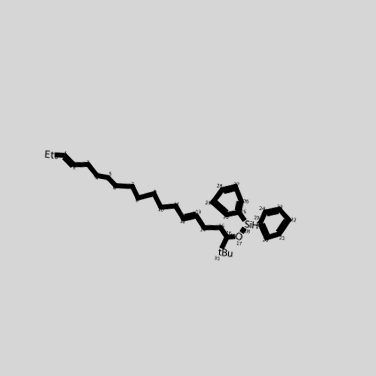 CCC=CCCCCCCCCCC=CCCC(O[SiH](c1ccccc1)c1ccccc1)C(C)(C)C